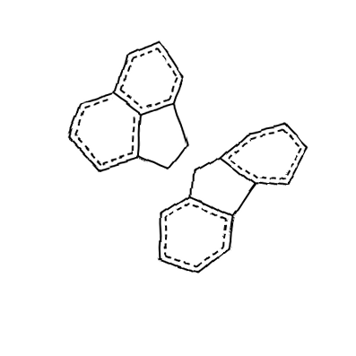 c1cc2c3c(cccc3c1)CC2.c1ccc2c(c1)Cc1ccccc1-2